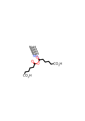 N.O=C(O)CCCCC(=O)OC(=O)CCCCC(=O)O.[NaH].[NaH].[NaH].[NaH]